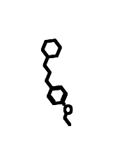 CCOc1ccc(CCCC2CCCCC2)cc1